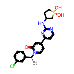 CC[C@H](c1cccc(Cl)c1)n1ccc(-c2ccnc(NC3CCS(O)(O)C3)n2)cc1=O